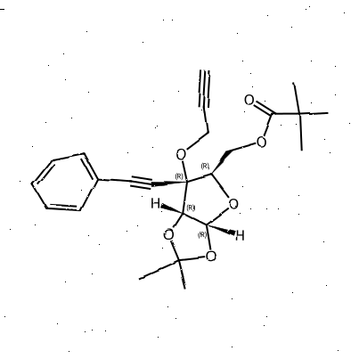 C#CCO[C@]1(C#Cc2ccccc2)[C@@H](COC(=O)C(C)(C)C)O[C@@H]2OC(C)(C)O[C@@H]21